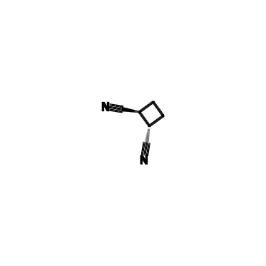 N#C[C@H]1CC[C@@H]1C#N